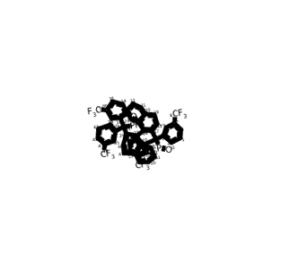 O=[PH2]C(c1cccc(C(F)(F)F)c1)(c1cccc(C(F)(F)F)c1)c1ccc2ccccc2c1-c1c(C([PH2]=O)(c2cccc(C(F)(F)F)c2)c2cccc(C(F)(F)F)c2)ccc2ccccc12